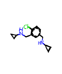 Clc1ccc(CNC2CC2)cc1CNC1CC1